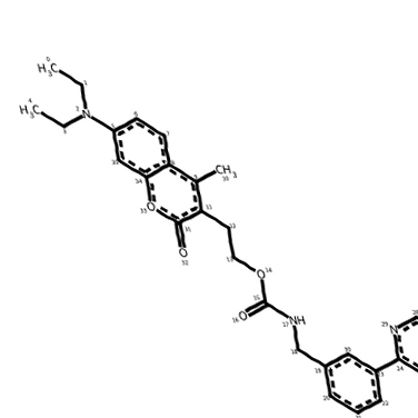 CCN(CC)c1ccc2c(C)c(CCOC(=O)NCc3cccc(-c4ncccn4)c3)c(=O)oc2c1